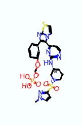 Cn1ccc(S(=O)(=O)N2CCC[C@@H](Nc3nccc(-c4c(-c5cccc(OCOP(=O)(O)O)c5)nc5sccn45)n3)C2)n1